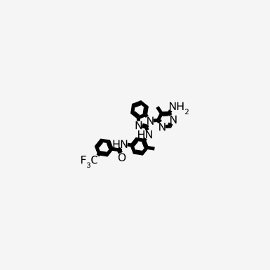 Cc1ccc(NC(=O)c2cccc(C(F)(F)F)c2)cc1Nc1nc2ccccc2n1-c1ncnc(N)c1C